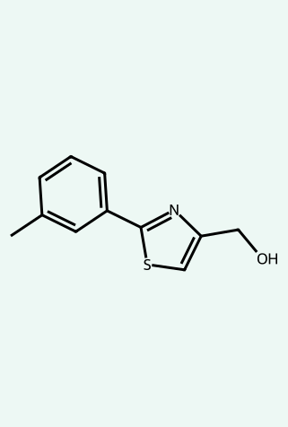 Cc1cccc(-c2nc(CO)cs2)c1